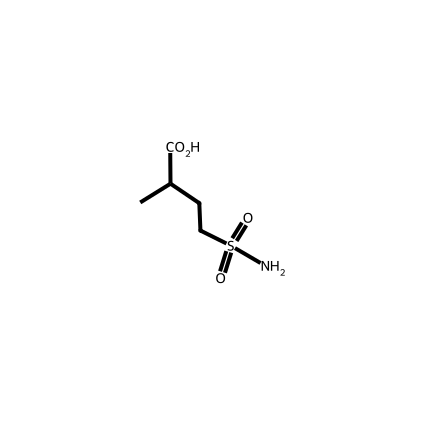 CC(CCS(N)(=O)=O)C(=O)O